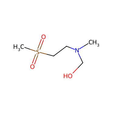 CN(CO)CCS(C)(=O)=O